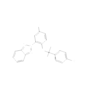 CC(C)(C)c1ccc(C(C)(Oc2ccc(C(C)(C)C)cc2-n2nc3ccccc3n2)C(=O)O)cc1